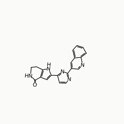 O=C1NCCc2[nH]c(-c3ccnc(-c4cnc5ccccc5c4)n3)cc21